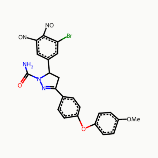 COc1ccc(Oc2ccc(C3=NN(C(N)=O)C(c4cc(Br)c(N=O)c(N=O)c4)C3)cc2)cc1